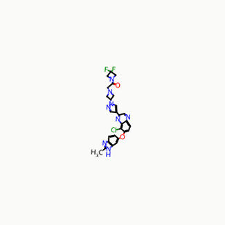 Cc1nc2ccc(Oc3ccc4ncc(-c5cnn(C6CN(CC(=O)N7CC(F)(F)C7)C6)c5)nc4c3Cl)cc2[nH]1